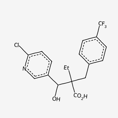 CCC(Cc1ccc(C(F)(F)F)cc1)(C(=O)O)C(O)c1ccc(Cl)nc1